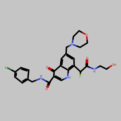 O=C(NCc1ccc(Cl)cc1)c1c[nH]c2c(C(F)C(=O)NCCO)cc(CN3CCOCC3)cc2c1=O